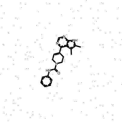 Cc1[nH]c2ncnc(C3=CCN(C(=O)Nc4ccccc4)CC3)c2c1C